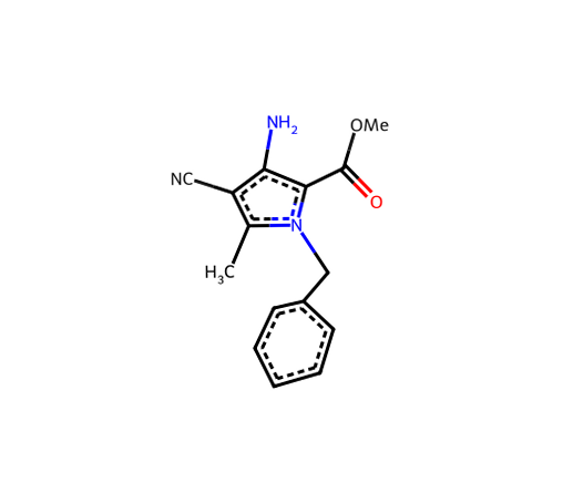 COC(=O)c1c(N)c(C#N)c(C)n1Cc1ccccc1